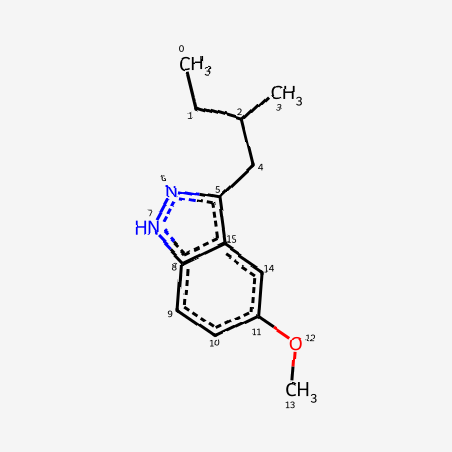 CCC(C)Cc1n[nH]c2ccc(OC)cc12